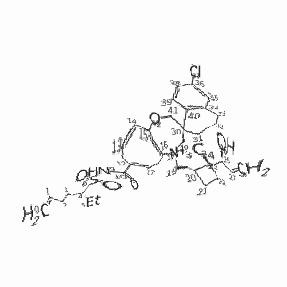 C=CCC[C@@H](CC)S(=O)(=O)NC(=O)c1ccc2c(c1)N(C[C@@H]1CC[C@@]1(C)[C@@H](O)C=C)C[C@@]1(CCCc3cc(Cl)ccc31)CO2